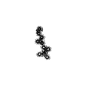 c1ccc(-c2nc(-c3ccccc3)nc(-n3c4ccccc4c4cc(-c5ccc6c(c5)c5ccccc5n6-c5cccc(-c6ccc7sc8cccnc8c7c6)c5)ccc43)n2)cc1